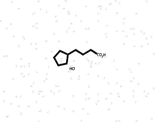 Cl.O=C(O)CCCC1CCCC1